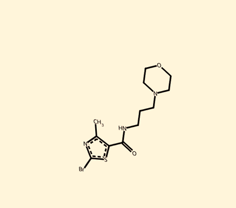 Cc1nc(Br)sc1C(=O)NCCCN1CCOCC1